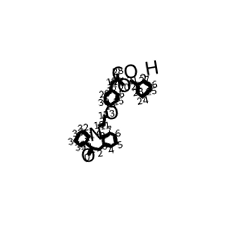 O=C1Cc2ccccc2N(CCCOc2ccc(CC(OCc3ccccc3)C(=O)O)cc2)c2ccccc21